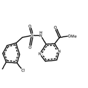 COC(=O)c1nccnc1NS(=O)(=O)Cc1ccc(Cl)c(Cl)c1